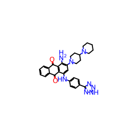 Nc1c(N2CCC(N3CCCCC3)CC2)cc(Nc2ccc(-c3nn[nH]n3)cc2)c2c1C(=O)c1ccccc1C2=O